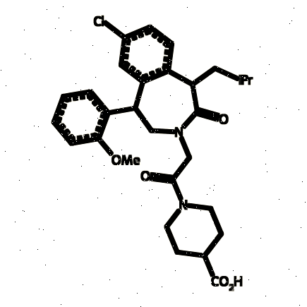 COc1ccccc1C1CN(CC(=O)N2CCC(C(=O)O)CC2)C(=O)C(CC(C)C)c2ccc(Cl)cc21